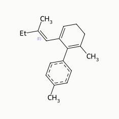 CC/C(C)=C/C1=CCCC(C)=C1c1ccc(C)cc1